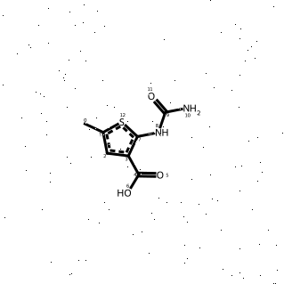 Cc1cc(C(=O)O)c(NC(N)=O)s1